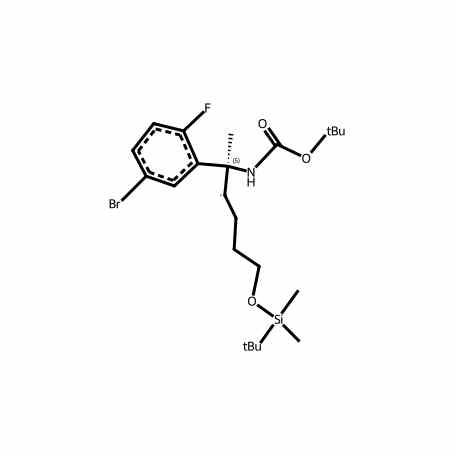 CC(C)(C)OC(=O)N[C@@](C)([CH]CCCO[Si](C)(C)C(C)(C)C)c1cc(Br)ccc1F